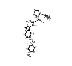 N#C[C@@H]1CCCN1C(=O)C(N)Cc1c[nH]c2ccc(Oc3ccc(C=O)cc3)cc12